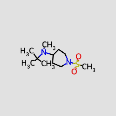 CN(C1CCN(S(C)(=O)=O)CC1)C(C)(C)C